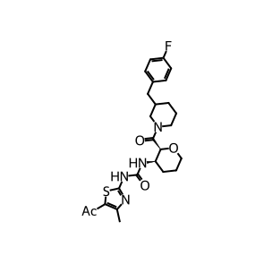 CC(=O)c1sc(NC(=O)N[C@@H]2CCCO[C@@H]2C(=O)N2CCCC(Cc3ccc(F)cc3)C2)nc1C